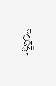 CC(C)(C)C(=O)Nc1nc2cc(Cl)ccc2s1